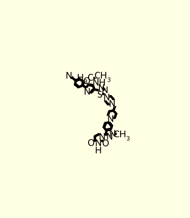 CC(C)Nc1c(-c2nnc(N3CCN(CC4CCN(c5ccc6c(N7CCC(=O)NC7=O)nn(C)c6c5)CC4)CC3)s2)cnc2c1oc1cc(C#N)ccc12